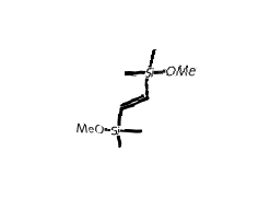 CO[Si](C)(C)C=C[Si](C)(C)OC